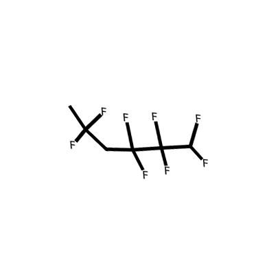 CC(F)(F)CC(F)(F)C(F)(F)C(F)F